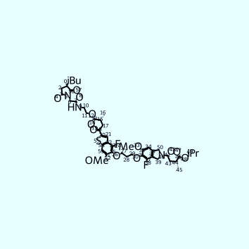 CCC(C)C1CC(=O)N(CC(=O)NCCOC(=O)[C@H](C)CC(=O)c2cc3c(F)c(OCCCOc4c(OC)cc5c(c4F)CN(C(=O)C[C@@H](C)C(=O)OC(C)C)C5)c(OC)cc3s2)C1=O